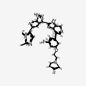 Cc1ncc(-c2cc3c(-c4nc5c(-c6cc(F)cc(OCCN7CCCC7)c6)cncc5[nH]4)n[nH]c3cn2)n1C